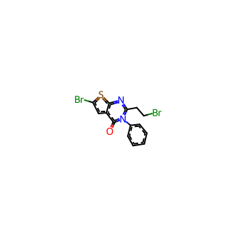 O=c1c2cc(Br)sc2nc(CCBr)n1-c1ccccc1